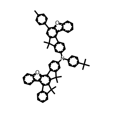 Cc1ccc(-c2cc3c(c4c2oc2ccccc24)-c2ccc(N(c4ccc(C(C)(C)C)cc4)c4ccc5c(c4)C(C)(C)c4c6c(c7c(oc8ccccc87)c4-5)-c4ccccc4C6(C)C)cc2C3(C)C)cc1